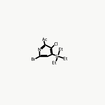 CC[Si](CC)(CC)c1cc(Br)nc(C(C)=O)c1Cl